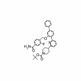 CC(C)(C)OC(=O)N1CCC(c2cccc(-c3ccc(-c4ccccc4)cc3OCc3ccc(C(N)=O)cc3F)n2)CC1